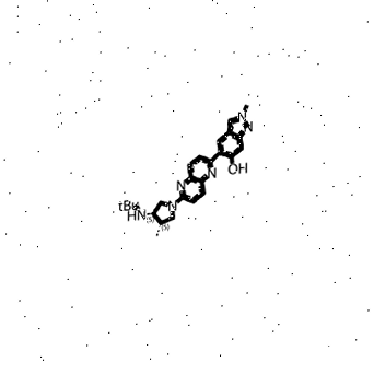 C[C@H]1CN(c2ccc3nc(-c4cc5cn(C)nc5cc4O)ccc3n2)C[C@H]1NC(C)(C)C